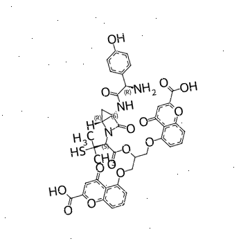 CC(C)(S)[C@H](C(=O)OC(COc1cccc2oc(C(=O)O)cc(=O)c12)COc1cccc2oc(C(=O)O)cc(=O)c12)N1C(=O)[C@]2(NC(=O)[C@H](N)c3ccc(O)cc3)C[C@@H]12